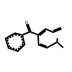 C=C/C=C(\C=C/C(C)C)C(=O)c1ccccc1